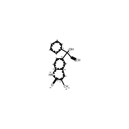 C#CC(O)(c1ccccc1)c1ccc2[nH]c(=O)c(C)cc2c1